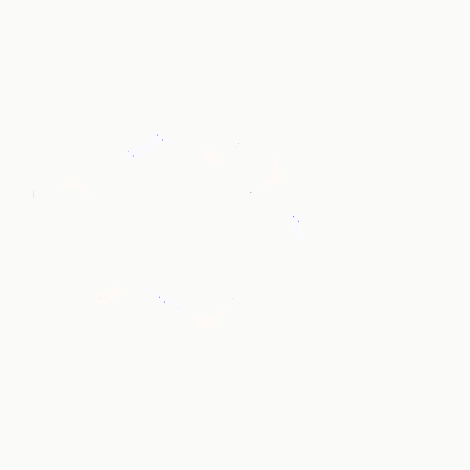 COc1cc(C(N)=O)cc2c(CC3(c4cc(C(C)(C)O)c(F)c(-c5ccc(F)cc5)n4)OCCC3=O)c(C)nnc12